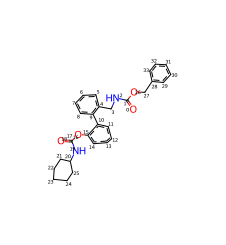 O=C(NCc1ccccc1-c1ccccc1OC(=O)NC1CCCCC1)OCc1ccccc1